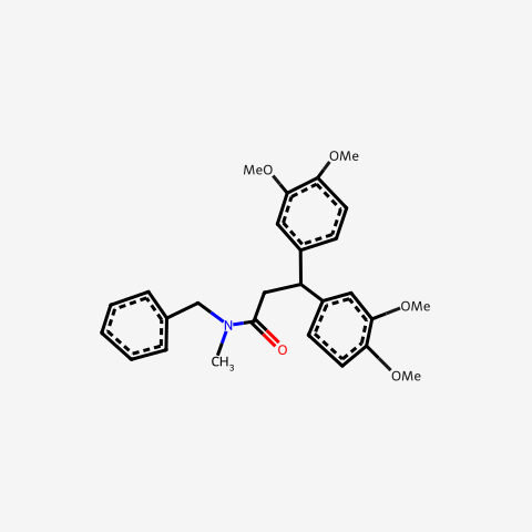 COc1ccc(C(CC(=O)N(C)Cc2ccccc2)c2ccc(OC)c(OC)c2)cc1OC